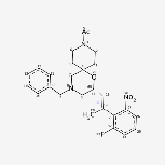 CC(=O)N1CCC2(CC1)CN(Cc1ccccc1)C[C@@H](/C=C(\C)c1c(F)cccc1[N+](=O)[O-])O2